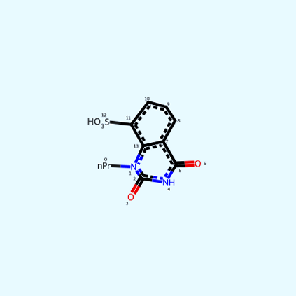 CCCn1c(=O)[nH]c(=O)c2cccc(S(=O)(=O)O)c21